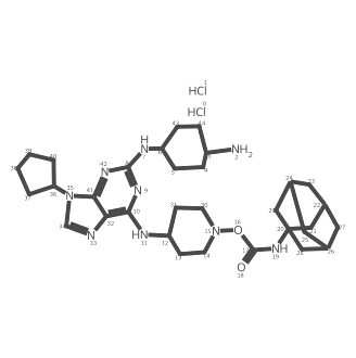 Cl.Cl.NC1CCC(Nc2nc(NC3CCN(OC(=O)NC45CC6CC(CC(C6)C4)C5)CC3)c3ncn(C4CCCC4)c3n2)CC1